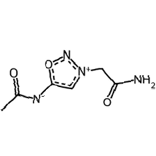 CC(=O)[N-]c1c[n+](CC(N)=O)no1